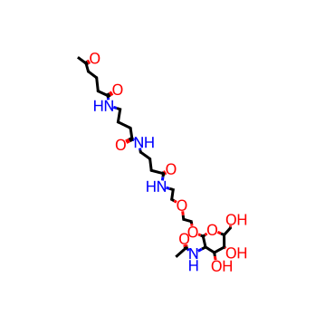 CC(=O)CCCC(=O)NCCCC(=O)NCCCC(=O)NCCOCCOC1OC(CO)C(O)C(O)C1NC(C)=O